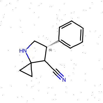 N#CC1[C@@H](c2ccccc2)CNC12CC2